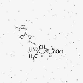 C=CC(=O)OCCNC(C)(C)CCCCCCCCCCC